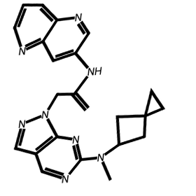 C=C(Cn1ncc2cnc(N(C)C3CC4(CC4)C3)nc21)Nc1cnc2cccnc2c1